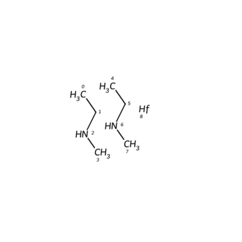 CCNC.CCNC.[Hf]